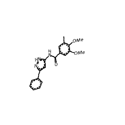 COc1cc(C(=O)Nc2cc(-c3ccccc3)n[nH]2)cc(C)c1OC